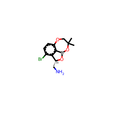 CC1(C)COc2ccc(Br)c3c2B(O[C@@H]3CN)O1